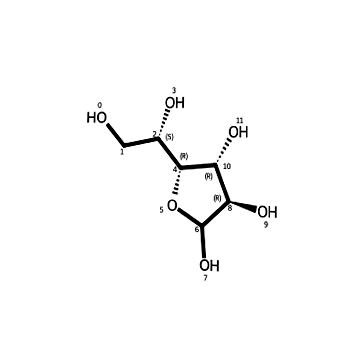 OC[C@H](O)[C@H]1OC(O)[C@H](O)[C@H]1O